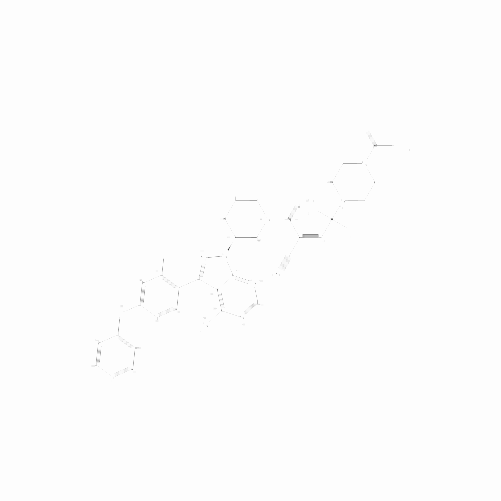 CC(=O)N1CCN(C(C)(C)/C=C(/C#N)C(=O)N2CCC[C@H](n3nc(-c4ccc(Oc5ccccc5)cc4F)c4c(N)ncnc43)C2)CC1